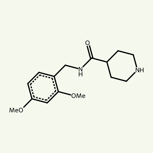 COc1ccc(CNC(=O)C2CCNCC2)c(OC)c1